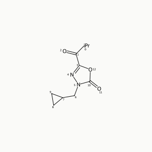 CC(C)C(=O)c1nn(CC2CC2)c(=O)o1